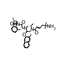 CCN(C(=O)C=CCC(C)(C)N)[C@H](Cc1ccc2ccccc2c1)C(=O)N(C)[C@H](Cc1ccccc1)C(=O)NC[C@H](C)O